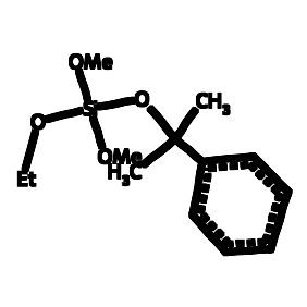 CCO[Si](OC)(OC)OC(C)(C)c1ccccc1